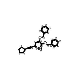 N=C(C#CC1CCCC1)/C=C(/OCc1ccccc1)C(=N)OCc1ccccc1